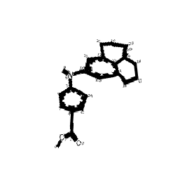 COC(=O)c1ccc(N(C)c2cc3c4c(c2)CCCC4(C)CCC3)cc1